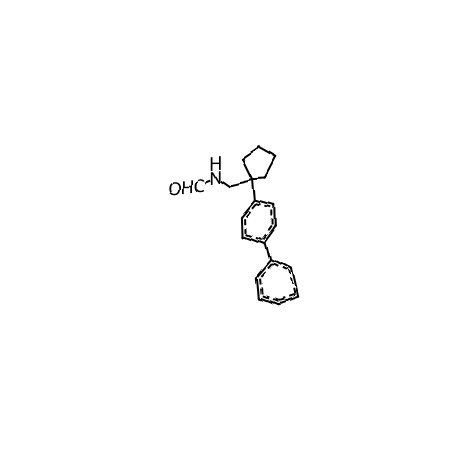 O=CNCC1(c2ccc(-c3ccccc3)cc2)CCCC1